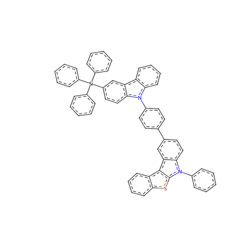 c1ccc(-n2c3ccc(-c4ccc(-n5c6ccccc6c6cc([Si](c7ccccc7)(c7ccccc7)c7ccccc7)ccc65)cc4)cc3c3c4ccccc4sc32)cc1